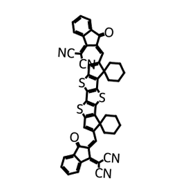 N#CC(C#N)=C1/C(=C/C2=Cc3sc4c(sc5c6c(sc54)C=C(/C=C4/C(=O)c5ccccc5C4=C(C#N)C#N)C64CCCCC4)c3C23CCCCC3)C(=O)c2ccccc21